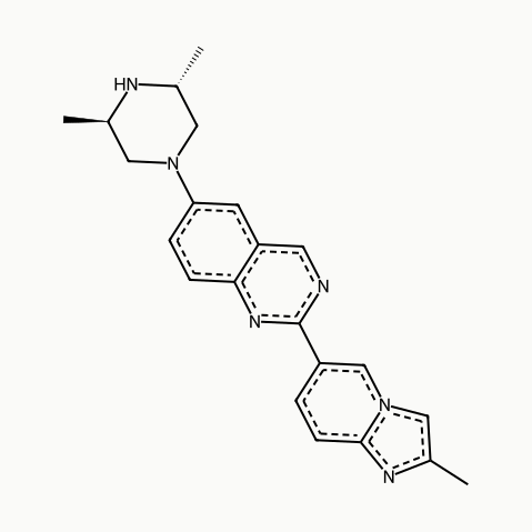 Cc1cn2cc(-c3ncc4cc(N5C[C@@H](C)N[C@H](C)C5)ccc4n3)ccc2n1